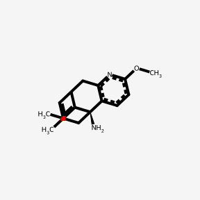 C/C=C1\C2C=C(C)C[C@@]1(N)c1ccc(OC)nc1C2